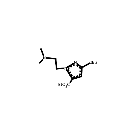 CCOC(=O)c1cc(C(C)(C)C)nn1CCN(C)C